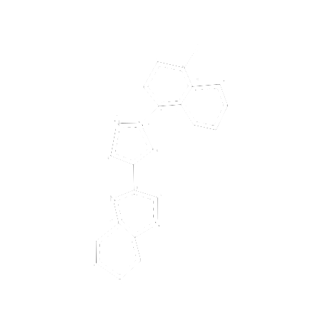 Clc1ccc(-n2cc(-c3cnc4ccccc4n3)cn2)c2ccccc12